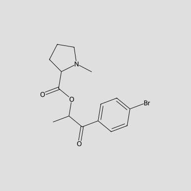 CC(OC(=O)C1CCCN1C)C(=O)c1ccc(Br)cc1